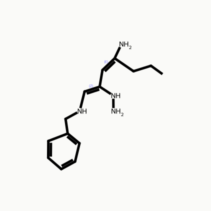 CCC/C(N)=C\C(=C\NCc1ccccc1)NN